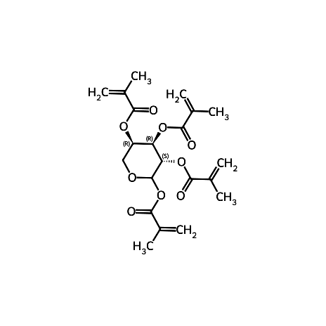 C=C(C)C(=O)OC1OC[C@@H](OC(=O)C(=C)C)[C@@H](OC(=O)C(=C)C)[C@@H]1OC(=O)C(=C)C